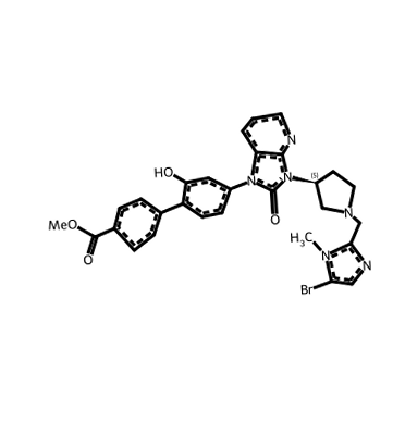 COC(=O)c1ccc(-c2ccc(-n3c(=O)n([C@H]4CCN(Cc5ncc(Br)n5C)C4)c4ncccc43)cc2O)cc1